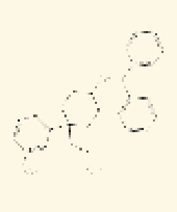 COc1cccc(C2(CCS(=O)(=O)O)CCC(NC(c3ccccc3)c3ccccc3)CC2)c1